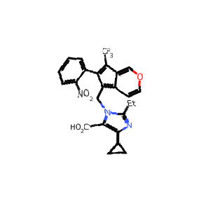 CCc1nc(C2CC2)c(C(=O)O)n1Cc1c2ccocc-2c(C(F)(F)F)c1-c1ccccc1[N+](=O)[O-]